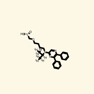 [2H]C([2H])([2H])C([2H])(N(CCCCOC[13C](=O)O)c1cnc(-c2ccccc2)c(-c2ccccc2)n1)C([2H])([2H])[2H]